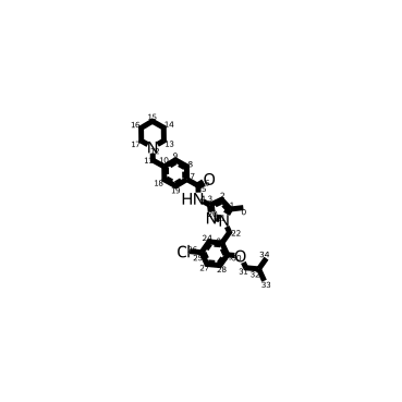 Cc1cc(NC(=O)c2ccc(CN3CCCCC3)cc2)nn1Cc1cc(Cl)ccc1OCC(C)C